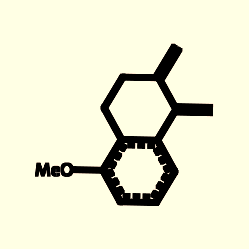 C=C1CCc2c(OC)cccc2C1=C